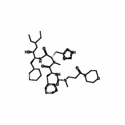 CCC(CC)C[C@H](O)[C@H](CC1CCCCC1)NC(=O)[C@H](Cc1c[nH]cn1)N(C)C(=O)[C@H](Cc1ccccc1)NC(=O)N(C)CCC(=O)N1CCOCC1